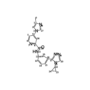 Cc1cn(-c2ccnc(C(=O)Nc3cccc(-c4nncn4C4CC4)c3)c2)cn1